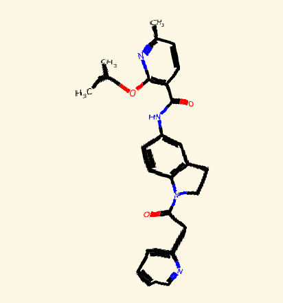 Cc1ccc(C(=O)Nc2ccc3c(c2)CCN3C(=O)Cc2ccccn2)c(OC(C)C)n1